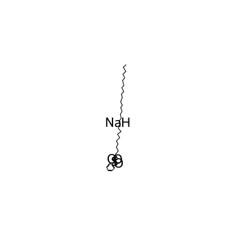 CCCCCCCCCCCCCCCCCCCCCCCCCCCCOS(=O)(=O)c1ccccc1.[NaH]